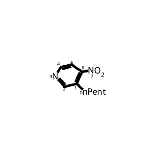 CCCCCc1cnccc1[N+](=O)[O-]